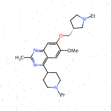 CCN1CC[C@@H](COc2cc3nc(C)nc(C4CCN(C(C)C)CC4)c3cc2OC)C1